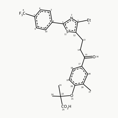 CCc1nc(-c2ccc(C(F)(F)F)cc2)sc1CCC(=O)c1ccc(OC(C)(C)C(=O)O)c(C)c1